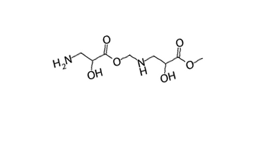 COC(=O)C(O)CNCOC(=O)C(O)CN